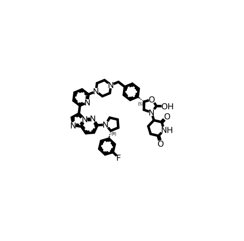 O=C1CCC(N2C[C@H](c3ccc(CN4CCN(c5cccc(-c6cnc7ccc(N8CCC[C@@H]8c8cccc(F)c8)nn67)n5)CC4)cc3)OC2O)C(=O)N1